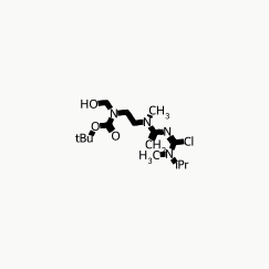 C=C(/N=C(/Cl)N(C)C(C)C)N(C)CCN(CO)C(=O)OC(C)(C)C